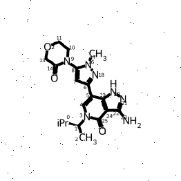 CC(C)[C@H](C)n1cc(-c2cc(N3CCOCC3=O)n(C)n2)c2[nH]nc(N)c2c1=O